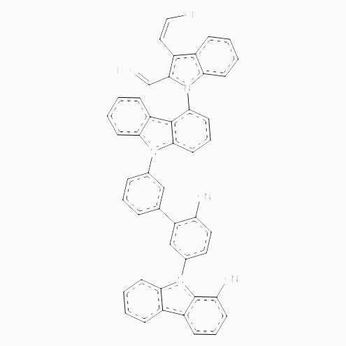 C=Cc1c(/C=C\C)c2ccccc2n1-c1cccc2c1c1ccccc1n2-c1cccc(-c2cc(-n3c4ccccc4c4cccc(C#N)c43)ccc2C#N)c1